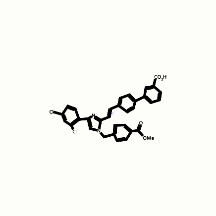 COC(=O)c1ccc(Cn2cc(-c3ccc(Cl)cc3Cl)nc2/C=C/c2ccc(-c3cccc(C(=O)O)c3)cc2)cc1